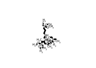 CCN(CC)[Si](C)(C)O[Si](C)(C)CC([SiH2]CNCCC[Si](OC)(OC)OC)C(C)[Si](OC)(OC)OC